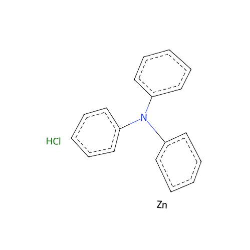 Cl.[Zn].c1ccc(N(c2ccccc2)c2ccccc2)cc1